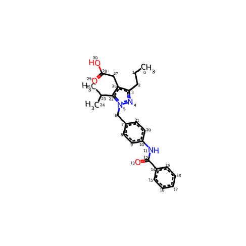 CCCc1nn(Cc2ccc(NC(=O)c3ccccc3)cc2)c(C(C)C)c1CC(=O)O